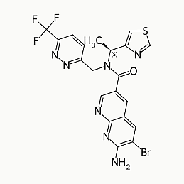 C[C@@H](c1cscn1)N(Cc1ccc(C(F)(F)F)nn1)C(=O)c1cnc2nc(N)c(Br)cc2c1